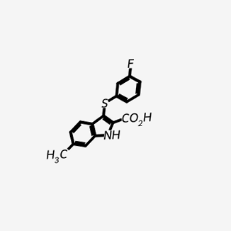 Cc1ccc2c(Sc3cccc(F)c3)c(C(=O)O)[nH]c2c1